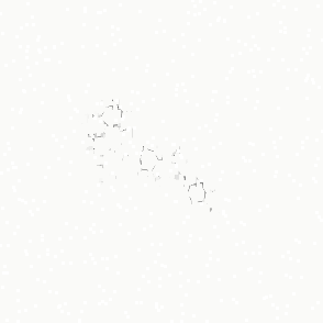 O=C(O)c1ccc(N2CC(O)(c3ccc(OCC4C(c5c(Cl)cncc5Cl)=NOC4C4CC4)cc3Cl)C2)nc1